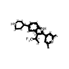 Cc1cc(-c2[nH]c3ccc(C4CCNCC4)cc3c2C(C)C(F)(F)F)cc(C)n1